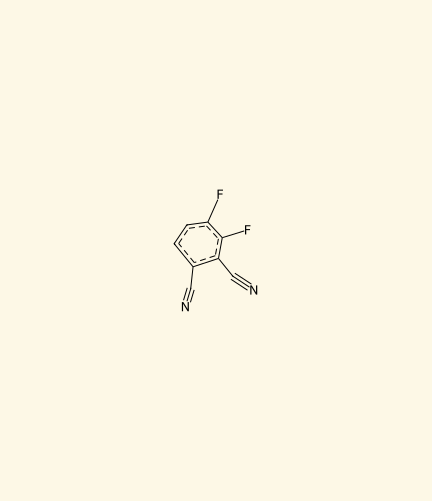 N#Cc1ccc(F)c(F)c1C#N